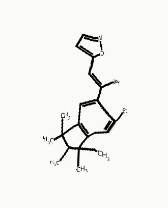 CCc1cc2c(cc1/C(=C/c1ccno1)C(C)C)C(C)(C)C(C)C2(C)C